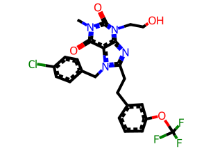 Cn1c(=O)c2c(nc(CCc3cccc(OC(F)(F)F)c3)n2Cc2ccc(Cl)cc2)n(CCO)c1=O